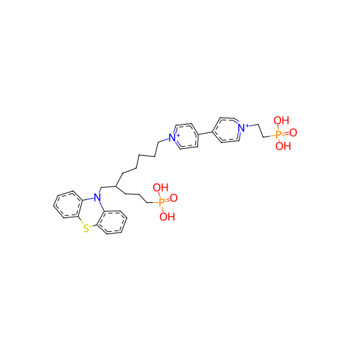 O=P(O)(O)CCCC(CCCCC[n+]1ccc(-c2cc[n+](CCP(=O)(O)O)cc2)cc1)CN1c2ccccc2Sc2ccccc21